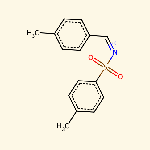 Cc1ccc(/C=N\S(=O)(=O)c2ccc(C)cc2)cc1